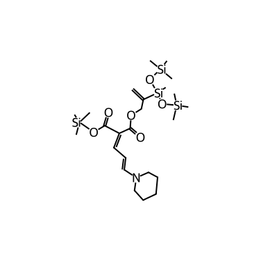 C=C(COC(=O)/C(=C\C=C\N1CCCCC1)C(=O)O[Si](C)(C)C)[Si](C)(O[Si](C)(C)C)O[Si](C)(C)C